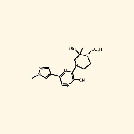 Cn1cc(-c2cnc(C#N)c(N3CCN(C(=O)O)C(C)(C(C)(C)C)C3)n2)cn1